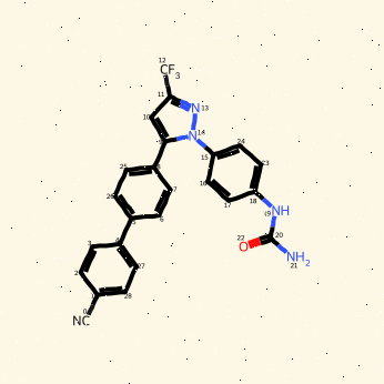 N#Cc1ccc(-c2ccc(-c3cc(C(F)(F)F)nn3-c3ccc(NC(N)=O)cc3)cc2)cc1